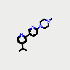 CC(C)c1ccnc(-c2ccc(N3CCN(C)CC3)nc2)c1